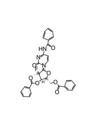 C[C@@]1(F)[C@H](OC(=O)c2ccccc2)[C@@H](COC(=O)c2ccccc2)O[C@@H]1n1ccc(NC(=O)c2ccccc2)nc1=O